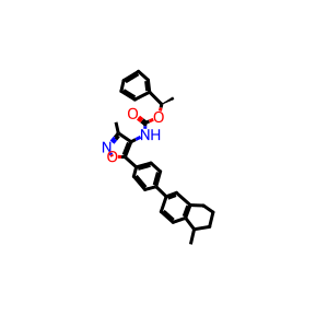 Cc1noc(-c2ccc(-c3ccc4c(c3)CCCC4C)cc2)c1NC(=O)O[C@H](C)c1ccccc1